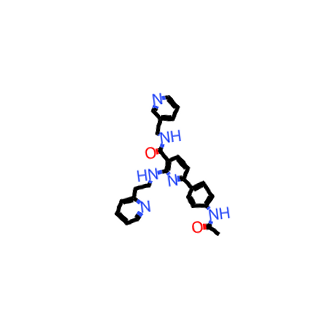 CC(=O)Nc1ccc(-c2ccc(C(=O)NCc3cccnc3)c(NCCc3ccccn3)n2)cc1